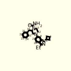 CCc1nn(C2CCC2)c2cc(N3CCN(C(N)=O)C(Cc4ccccc4)C3)ccc12